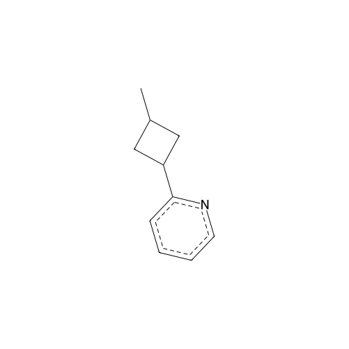 CC1CC(c2ccccn2)C1